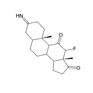 C[C@]12CCC(=N)CC1CCC1C2C(=O)C(F)[C@]2(C)C(=O)CCC12